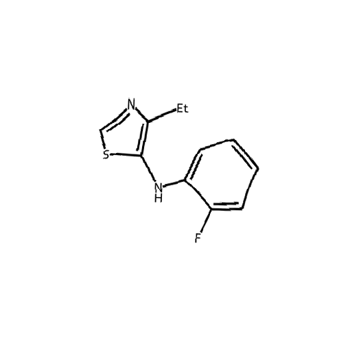 [CH2]Cc1ncsc1Nc1ccccc1F